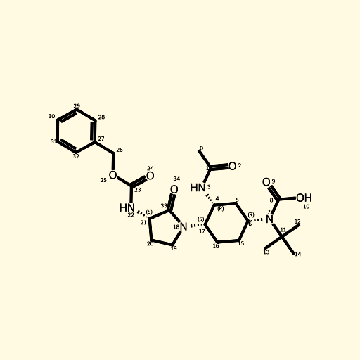 CC(=O)N[C@@H]1C[C@H](N(C(=O)O)C(C)(C)C)CC[C@@H]1N1CC[C@H](NC(=O)OCc2ccccc2)C1=O